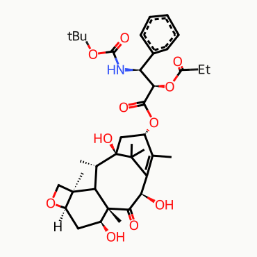 CCC(=O)O[C@@H](C(=O)O[C@H]1C[C@@]2(O)[C@@H](C)C3[C@]4(C)CO[C@@H]4C[C@H](O)[C@@]3(C)C(=O)[C@H](O)C(=C1C)C2(C)C)[C@@H](NC(=O)OC(C)(C)C)c1ccccc1